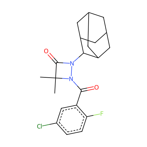 CC1(C)C(=O)N(C2C3CC4CC(C3)CC2C4)N1C(=O)c1cc(Cl)ccc1F